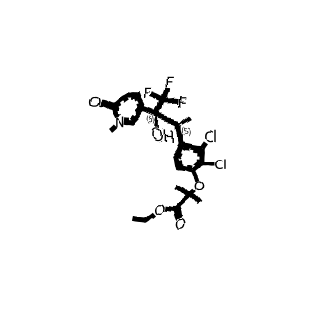 CCOC(=O)C(C)(C)Oc1ccc([C@H](C)[C@](O)(c2ccc(=O)n(C)c2)C(F)(F)F)c(Cl)c1Cl